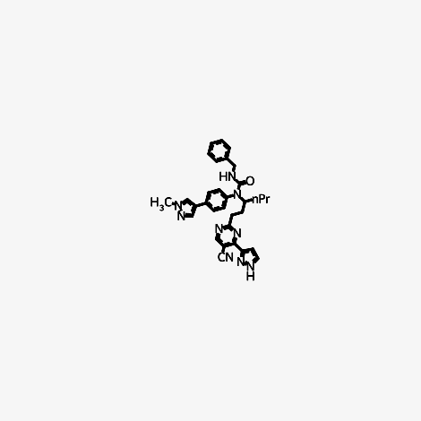 CCCC(CCc1ncc(C#N)c(-c2cc[nH]n2)n1)N(C(=O)NCc1ccccc1)c1ccc(-c2cnn(C)c2)cc1